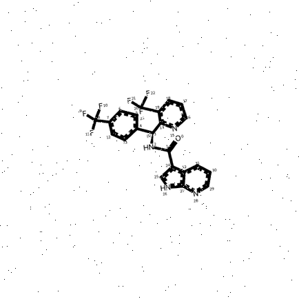 O=C(N[C@@H](c1ccc(C(F)(F)F)cc1)c1ncccc1C(F)(F)F)c1c[nH]c2ncccc12